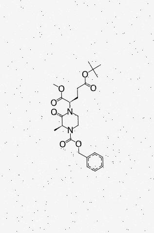 COC(=O)[C@@H](CCC(=O)OC(C)(C)C)N1CCN(C(=O)OCc2ccccc2)[C@@H](C)C1=O